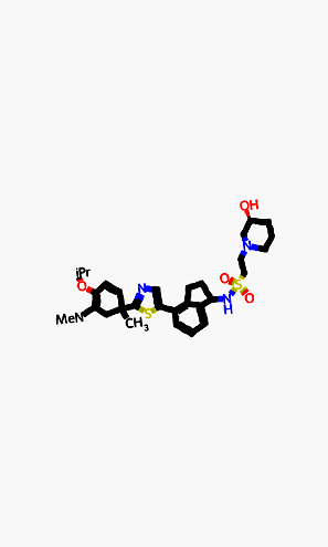 CNC1=C(OC(C)C)C=CC(C)(c2ncc(-c3cccc4c3CCC4NS(=O)(=O)CCN3CCC[C@H](O)C3)s2)C1